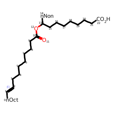 CCCCCCCC/C=C/CCCCCCCC(=O)OC(CCCCCCCCC)CCCCCCCC(=O)O